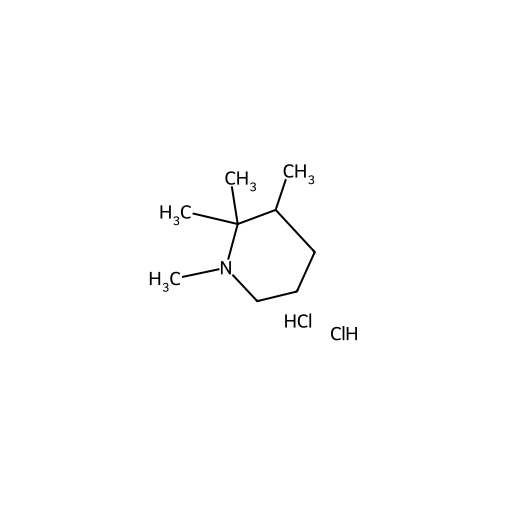 CC1CCCN(C)C1(C)C.Cl.Cl